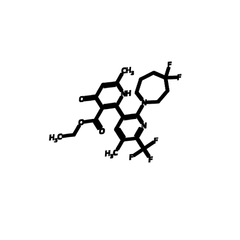 CCOC(=O)c1c(-c2cc(C)c(C(F)(F)F)nc2N2CCCC(F)(F)CC2)[nH]c(C)cc1=O